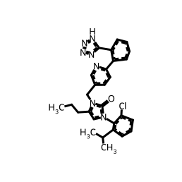 CCCc1cn(-c2c(Cl)cccc2C(C)C)c(=O)n1Cc1ccc(-c2ccccc2-c2nnn[nH]2)nc1